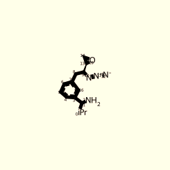 CC(C)C(N)c1cccc(CC(N=[N+]=[N-])[C@H]2CO2)c1